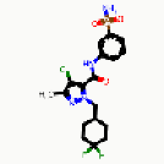 Cc1nn(CC2CCC(F)(F)CC2)c(C(=O)Nc2cccc(S(N)(=O)=O)c2)c1Cl